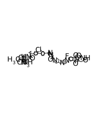 CC(C)(c1n[nH]c(CNC(=O)C2(c3ccc(-c4ccc(-c5cnn(CC(=O)N6CCC(CN7CCN(c8cc9c(cc8F)C(=O)N(C8CCC(=O)NC8=O)C9=O)CC7)CC6)c5)cc4Cl)cc3)CC2)n1)C(F)(F)F